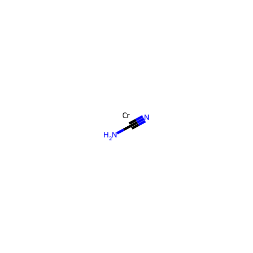 N#CN.[Cr]